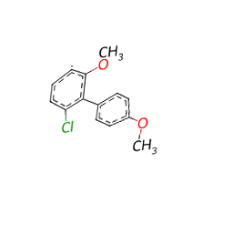 COc1ccc(-c2c(OC)[c]ccc2Cl)cc1